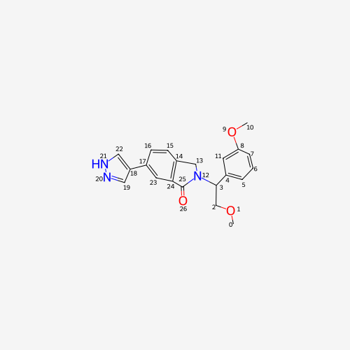 COCC(c1cccc(OC)c1)N1Cc2ccc(-c3cn[nH]c3)cc2C1=O